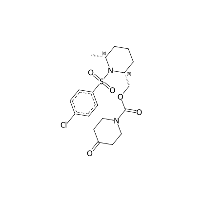 C[C@@H]1CCC[C@H](COC(=O)N2CCC(=O)CC2)N1S(=O)(=O)c1ccc(Cl)cc1